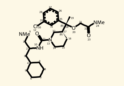 CNCC(CC1CCCCC1)NC(=O)N1CCC[C@@H]([C@@](C)(OCC(=O)NC)c2cccc(Cl)c2)C1